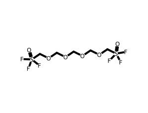 O=S(F)(F)(F)COCOCOCOCS(=O)(F)(F)F